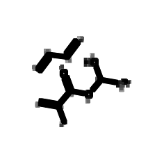 C=C(C)C(=O)OC(O)CCC.C=CC=C